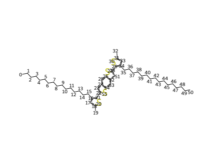 CCCCCCCCCCCCCCCCc1cc(C)sc1-c1cc2cc3sc(-c4sc(C)cc4CCCCCCCCCCCCCCCC)cc3cc2s1